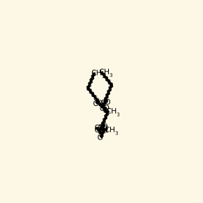 CCCCCCCC/C=C\CCCCCCCC(=O)OCC(COC(=O)CCCCCCC/C=C\CCCCCCCC)OC(=O)CC(C)CCCCCCC(=O)Oc1c(OC)cc(C=O)cc1OC